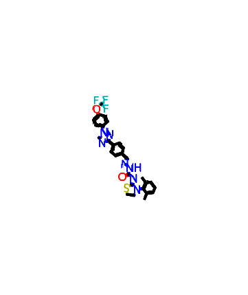 Cc1cccc(C)c1N1CCS/C1=N\C(=O)N/N=C/c1ccc(-c2ncn(-c3ccc(OC(F)(F)F)cc3)n2)cc1